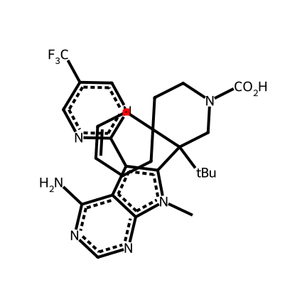 Cn1c(C2(C(C)(C)C)CN(C(=O)O)CCC23CC=CCC3)c(-c2ncc(C(F)(F)F)cn2)c2c(N)ncnc21